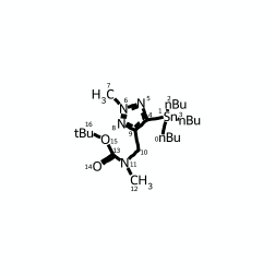 CCC[CH2][Sn]([CH2]CCC)([CH2]CCC)[c]1nn(C)nc1CN(C)C(=O)OC(C)(C)C